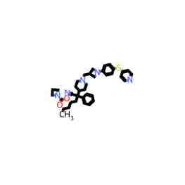 CCCC(CC(C#N)(c1ccccc1)C1CCN(CC2CN(c3ccc(Sc4ccncc4)cc3)C2)CC1)OC(=O)N1CCC1